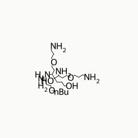 CCCCOCCCN.NCCCOCCC(N)C(O)(CCCO)C(N)CCOCCCN